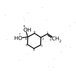 C=CC1CCCC(O)(O)C1